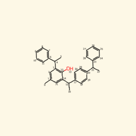 Cc1cc(C(C)c2ccccc2)c(O)c(C(C)c2ccc(C(C)c3ccccc3)cc2)c1